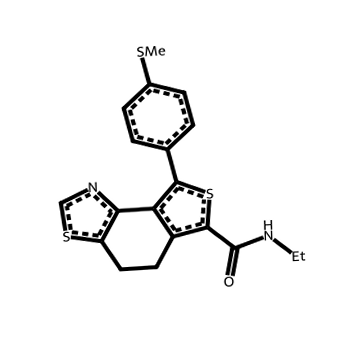 CCNC(=O)c1sc(-c2ccc(SC)cc2)c2c1CCc1scnc1-2